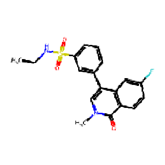 CCNS(=O)(=O)c1cccc(-c2cn(C)c(=O)c3ccc(F)cc23)c1